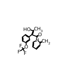 C=C1C=CC=CN1C(=O)/C(=C(\C)O)c1cccc(OC(F)(F)F)c1